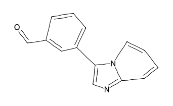 O=Cc1cccc(-c2cnc3ccccn23)c1